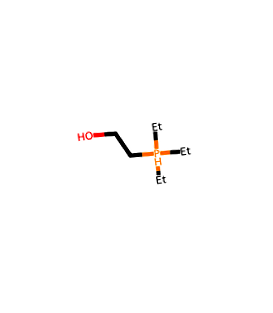 CC[PH](CC)(CC)CCO